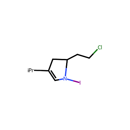 CC(C)C1=CN(I)C(CCCl)C1